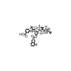 CC[C@@H]1C[C@]1(NC(=O)[C@@H]1C[C@@H](OC(=O)N2Cc3cccc(F)c3C2)CN1C(=O)[C@@H](Nc1cccc(C(=O)O)c1)C(C)(C)C)C(=O)NS(=O)(=O)C1CC1